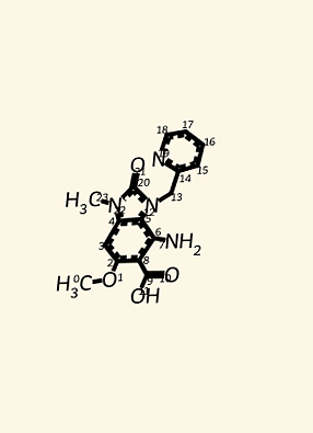 COc1cc2c(c(N)c1C(=O)O)n(Cc1ccccn1)c(=O)n2C